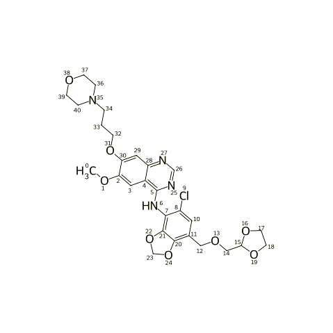 COc1cc2c(Nc3c(Cl)cc(COCC4OCCO4)c4c3OCO4)ncnc2cc1OCCCN1CCOCC1